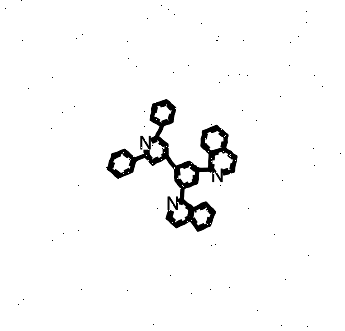 c1ccc(-c2cc(-c3cc(-c4nccc5ccccc45)cc(-c4nccc5ccccc45)c3)cc(-c3ccccc3)n2)cc1